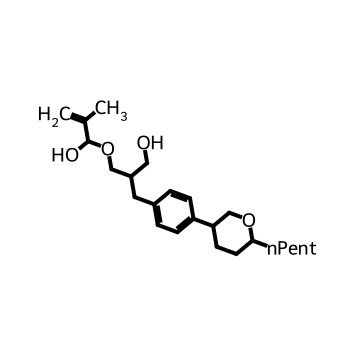 C=C(C)C(O)OCC(CO)Cc1ccc(C2CCC(CCCCC)OC2)cc1